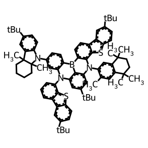 Cc1cc2c(cc1N1c3cc(C(C)(C)C)cc4c3B(c3ccc(N5c6ccc(C(C)(C)C)cc6C6(C)CCCCC56C)cc3N4c3cccc4c3sc3ccc(C(C)(C)C)cc34)c3ccc4c(sc5ccc(C(C)(C)C)cc54)c31)C(C)(C)CCC2(C)C